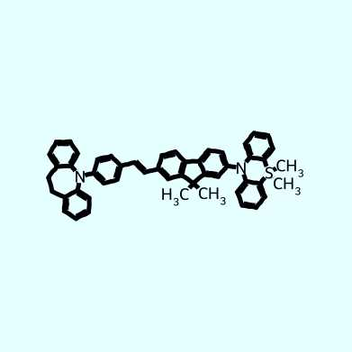 CC1(C)c2cc(/C=C/c3ccc(N4c5ccccc5CCc5ccccc54)cc3)ccc2-c2ccc(N3c4ccccc4S(C)(C)c4ccccc43)cc21